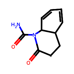 NC(=O)N1C(=O)[C]CC2C=CC=CC21